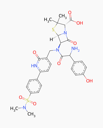 CN(C)S(=O)(=O)c1ccc(-c2ccc(CN(C(=O)C(N)c3ccc(O)cc3)[C@@H]3C(=O)N4[C@@H]3SC(C)(C)[C@@H]4C(=O)O)c(=O)[nH]2)cc1